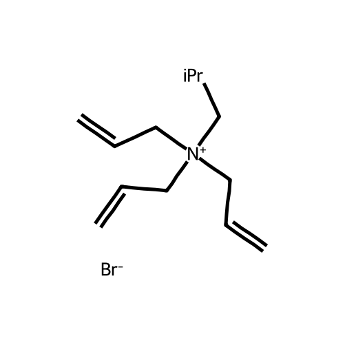 C=CC[N+](CC=C)(CC=C)CC(C)C.[Br-]